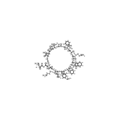 CC(O)[C@@H]1NC(=O)[C@H](Cc2ccccc2)NC(=O)[C@H](C(C)O)NC(=O)[C@H](CCCCN)NC(=O)[C@H](Cc2c[nH]c3ccccc23)NC(=O)[C@H](Cc2ccccc2)NC(=O)[C@H](Cc2ccccc2)NC(=O)[C@H](CC(N)=O)NC(=O)[C@H](CCCCN)NC(=O)[C@@H](NC(=O)CNC(=O)[C@H](C)N)CSSC[C@@H](C(=O)O)NC(=O)[C@H](CO)NC1=O.[Zn+2]